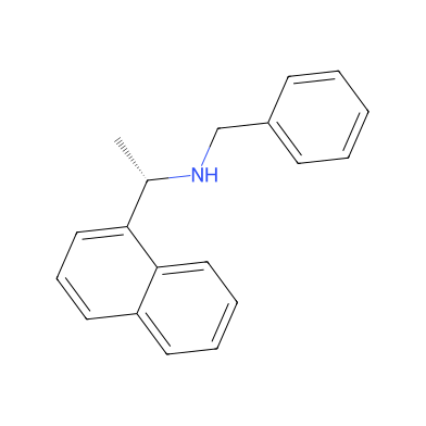 C[C@H](NCc1ccccc1)c1cccc2ccccc12